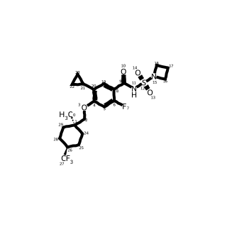 C[C@]1(COc2cc(F)c(C(=O)NS(=O)(=O)N3CCC3)cc2C2CC2)CC[C@@H](C(F)(F)F)CC1